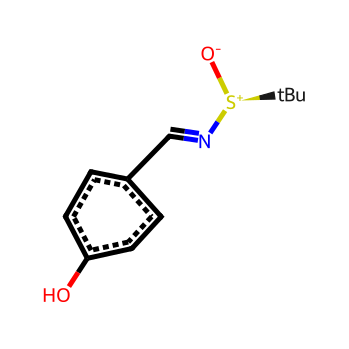 CC(C)(C)[S@+]([O-])N=Cc1ccc(O)cc1